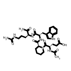 CC(=O)N[C@@H](CCC(=O)O)C(=O)N1CCCC[C@H]1C(=O)N[C@@H](Cc1c[nH]c2ccccc12)C(=O)N[C@@H](CCCNC(N)=O)C(N)=O